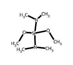 CO[Si](OC)(N(C)C)N(C)C